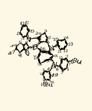 CC(C)(C)c1ccc(N(c2ccc(C(C)(C)C)cc2)c2ccc3c(c2)N(c2ccccc2)c2cccc4c2B3c2oc3c(c2N4c2ccccc2)CCCC3)cc1